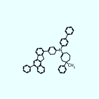 CC1(c2ccccc2)CC=C(N(C2=CC=C(c3cccc4c3Cc3c-4cc(-c4ccccc4)c4ccccc34)CC2)c2ccc(-c3ccccc3)cc2)CCC1